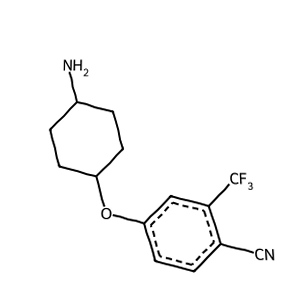 N#Cc1ccc(OC2CCC(N)CC2)cc1C(F)(F)F